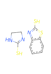 SC1=NCCN1.Sc1nc2ccccc2s1